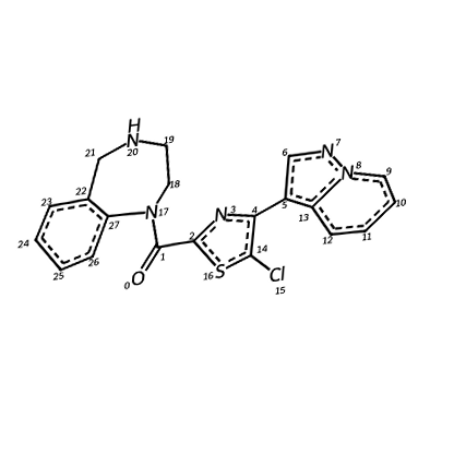 O=C(c1nc(-c2cnn3ccccc23)c(Cl)s1)N1CCNCc2ccccc21